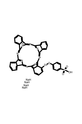 O=S(=O)(O)c1ccc([O][Zn][c]2cccc3c4nc5nc(nc6[nH]c(nc7nc(nc([nH]4)c23)-c2ccccc2-7)c2ccccc62)-c2ccccc2-5)cc1.[NaH].[NaH].[NaH].[NaH]